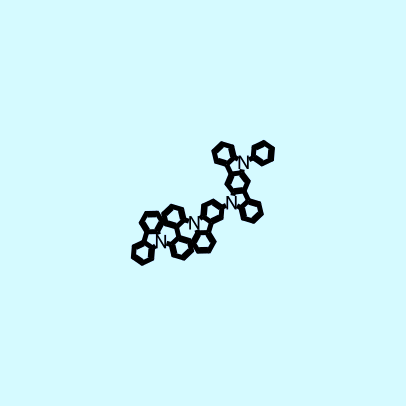 c1ccc(-n2c3ccccc3c3cc4c(cc32)c2ccccc2n4-c2ccc3c(c2)c2ccccc2n3-c2ccccc2-c2ccccc2-n2c3ccccc3c3ccccc32)cc1